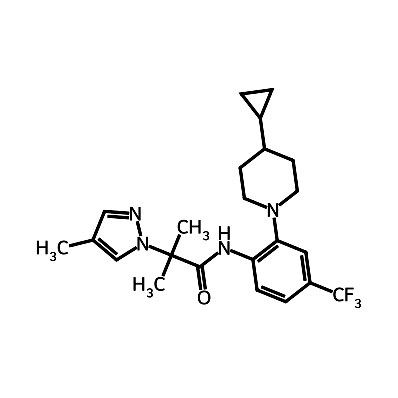 Cc1cnn(C(C)(C)C(=O)Nc2ccc(C(F)(F)F)cc2N2CCC(C3CC3)CC2)c1